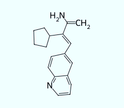 C=C(N)/C(=C/c1ccc2ncccc2c1)C1CCCC1